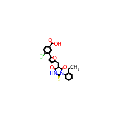 CCc1ccccc1N1C(=O)/C(=C/c2ccc(-c3cc(C(=O)O)ccc3Cl)o2)C(=O)NC1=S